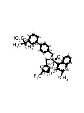 Cc1nc2ccccc2c(S(=O)(=O)N(Cc2ccc(-c3cccc(C(C)(C)C(=O)O)c3)cc2)Cc2ccc(C(F)(F)F)o2)c1C